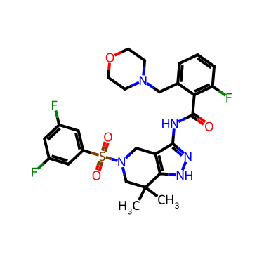 CC1(C)CN(S(=O)(=O)c2cc(F)cc(F)c2)Cc2c(NC(=O)c3c(F)cccc3CN3CCOCC3)n[nH]c21